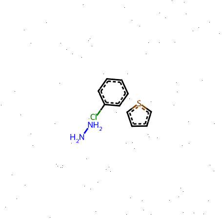 Clc1ccccc1.NN.c1ccsc1